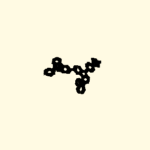 Brc1ccc(C2c3ccc(-c4ccc5c(c4)c4ccccc4n5-c4ccccc4)cc3-c3c2ccc2c3oc3ccccc32)cc1